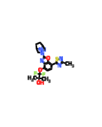 Cc1nsc(-c2ccc(OC(F)(F)C(C)(C)O)c3nc(N4CC5CCC(C4)N5)oc23)n1